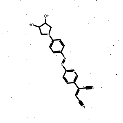 N#CC=C(C#N)c1ccc(N=Nc2ccc(N3CC(O)C(O)C3)cc2)cc1